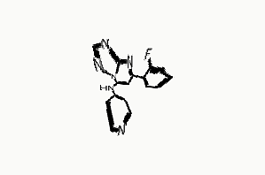 Fc1ccccc1-c1cc(Nc2ccncc2)n2ncnc2n1